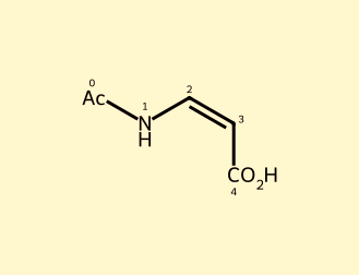 CC(=O)N/C=C\C(=O)O